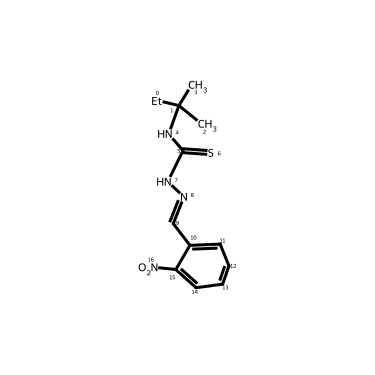 CCC(C)(C)NC(=S)N/N=C/c1ccccc1[N+](=O)[O-]